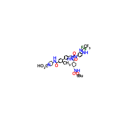 Cc1cc(C(=O)NC2CCN(C(=O)O)CC2)ccc1-c1ccc(C[C@H](NC(=O)[C@H]2CC[C@H](CNC(=O)OC(C)(C)C)CC2)C(=O)Nc2ccc3[nH]c(C(F)(F)C(F)(F)F)nc3c2)cc1